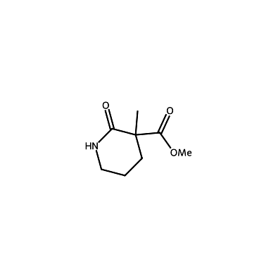 COC(=O)C1(C)CCCNC1=O